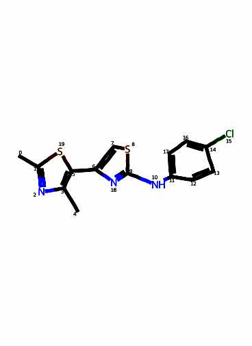 Cc1nc(C)c(-c2csc(Nc3ccc(Cl)cc3)n2)s1